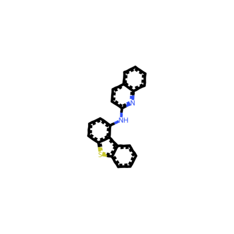 c1ccc2nc(Nc3cccc4sc5ccccc5c34)ccc2c1